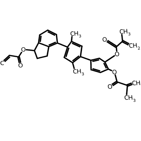 C=CC(=O)OC1CCc2c(-c3cc(C)c(-c4ccc(OC(=O)C(=C)C)c(OC(=O)C(=C)C)c4)cc3C)cccc21